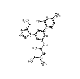 CCc1nnnn1-c1cc(OC(=O)N[C@@H](C)CO)cc(-c2ccc(C)cc2F)c1